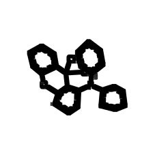 CC1(C)c2ccccc2Oc2[c]ccc(P(c3ccccc3)c3ccccc3)c21